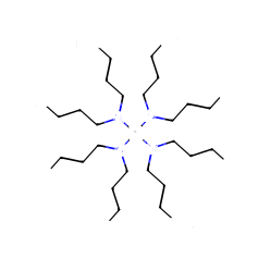 CCCC[N](CCCC)[Pb]([N](CCCC)CCCC)([N](CCCC)CCCC)[N](CCCC)CCCC